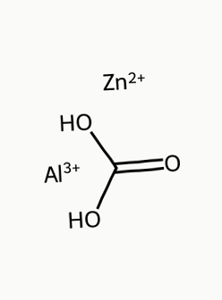 O=C(O)O.[Al+3].[Zn+2]